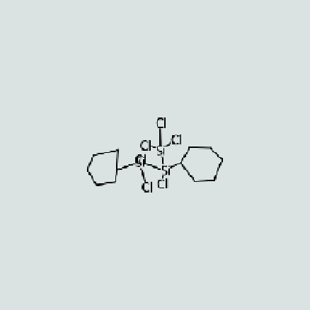 Cl[Si](Cl)(Cl)[Si](Cl)(C1CCCCC1)[Si](Cl)(Cl)C1CCCCC1